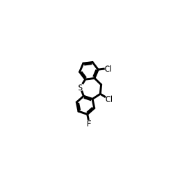 Fc1ccc2c(c1)C(Cl)Cc1c(Cl)cccc1S2